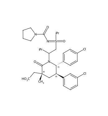 CC(C)C(CS(=O)(=NC(=O)N1CCCC1)C(C)C)N1C(=O)[C@@](C)(CC(=O)O)C[C@H](c2cccc(Cl)c2)[C@H]1c1ccc(Cl)cc1